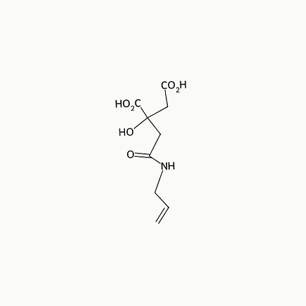 C=CCNC(=O)CC(O)(CC(=O)O)C(=O)O